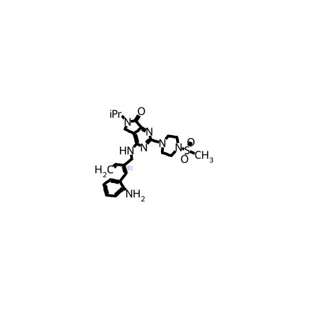 C=C/C(=C\c1ccccc1N)CNc1nc(N2CCN(S(C)(=O)=O)CC2)nc2c1CN(C(C)C)C2=O